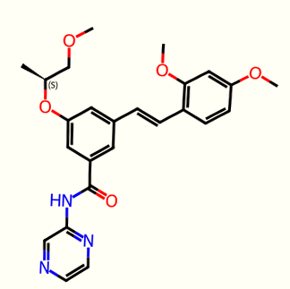 COC[C@H](C)Oc1cc(C=Cc2ccc(OC)cc2OC)cc(C(=O)Nc2cnccn2)c1